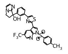 Cc1ccc(S(=O)(=O)n2cc(-c3nc(-c4cccc([C@]5(O)CCn6ccnc65)c4)cs3)c3cc(C(F)(F)F)cnc32)cc1